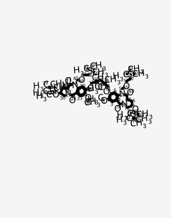 COc1cc2c(cc1OCC(C)(C)CC(C)(C)COc1cc3c(cc1OC)C(=O)N1CC(O[Si](C)(C)C(C)(C)C)C[C@H]1C(=O)N3COCC[Si](C)(C)C)N(COCC[Si](C)(C)C)C(=O)C1CC(O[Si](C)(C)C(C)(C)C)CN1C2=O